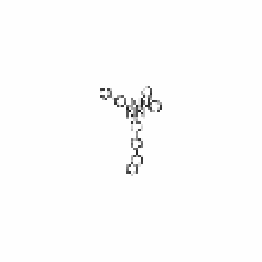 c1ccc(-c2ccc(-c3nc(-c4ccc(-c5ccc(-c6ccc7ccccc7c6)cc5)cc4)nc(-n4c5ccccc5c5ccccc54)n3)cc2)cc1